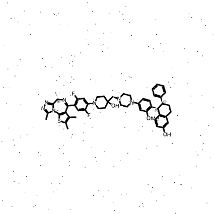 COc1cc(N2CCN(CC3(O)CCN(c4cc(F)c(C5=N[C@@H](C)c6nnc(C)n6-c6sc(C)c(C)c65)cc4F)CC3)CC2)ccc1[C@@H]1c2ccc(O)cc2CC[C@@H]1c1ccccc1